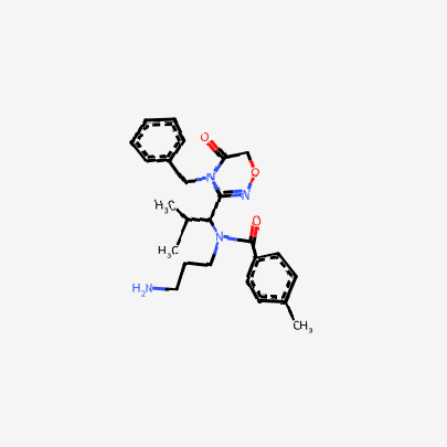 Cc1ccc(C(=O)N(CCCN)C(C2=NOCC(=O)N2Cc2ccccc2)C(C)C)cc1